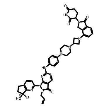 C=CCn1c(=O)c2cnc(Nc3ccc(N4CCN(C5CN(c6cccc7c6CN(C6CCC(=O)NC6=O)C7=O)C5)CC4)cc3)nc2n1-c1ccc2c(n1)[C@@](O)(CC)CC2